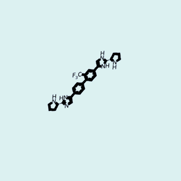 FC(F)(F)c1cc(C2=CNC([C@@H]3CCCN3)N2)ccc1-c1ccc(-c2cnc([C@@H]3CCCN3)[nH]2)cc1